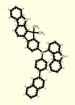 CC1(C)c2cc(N(c3ccc(-c4ccc5ccccc5c4)cc3)c3cccc4oc5ccccc5c34)ccc2-c2ccc3c(oc4ccccc43)c21